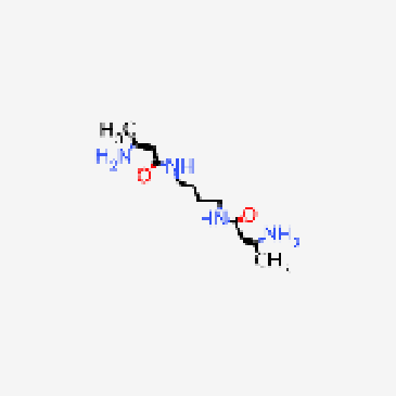 C/C(N)=C/C(=O)NCCCCNC(=O)/C=C(/C)N